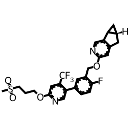 CS(=O)(=O)CCCOc1cc(C(F)(F)F)c(-c2ccc(F)c(COc3cc4c(cn3)C3C[C@@H]3C4)c2)cn1